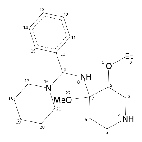 CCOC1CNCCC1(NC(c1ccccc1)N1CC[CH]CC1)OC